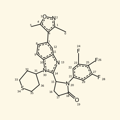 Cc1noc(C)c1-c1ccc2c(c1)nc(C1CCC(=O)N1c1cc(F)c(F)c(F)c1)n2C1CCSCC1